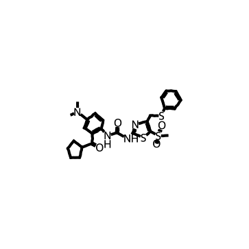 CN(C)c1ccc(NC(=O)Nc2nc(CSc3ccccc3)c(S(C)(=O)=O)s2)c(C(=O)C2CCCC2)c1